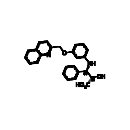 O=C(O)[C@@H](O)[C@H](Nc1cccc(OCc2ccc3ccccc3n2)c1)c1ccccc1